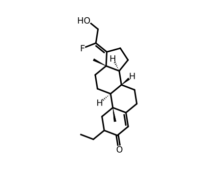 CCC1C[C@@]2(C)C(=CC1=O)CC[C@@H]1[C@@H]2CC[C@]2(C)C(=C(F)CO)CC[C@@H]12